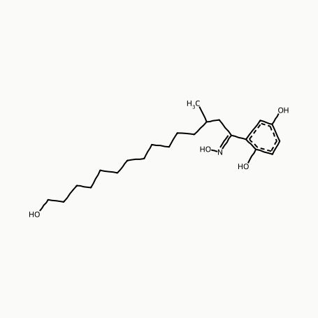 CC(CCCCCCCCCCCCO)CC(=NO)c1cc(O)ccc1O